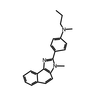 CCCN(C)c1ccc(-c2nc3c4ccccc4ccc3n2C)cc1